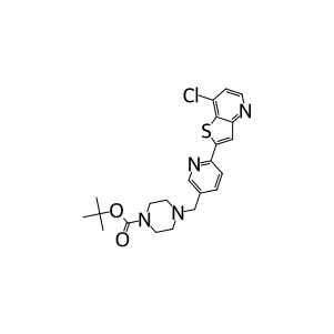 CC(C)(C)OC(=O)N1CCN(Cc2ccc(-c3cc4nccc(Cl)c4s3)nc2)CC1